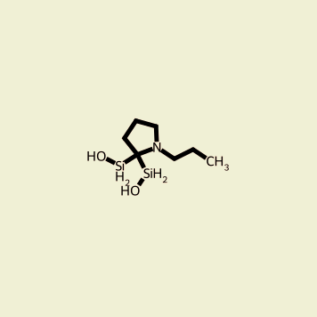 CCCN1CCCC1([SiH2]O)[SiH2]O